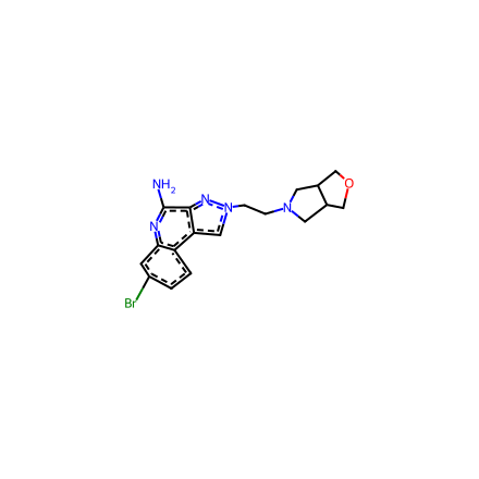 Nc1nc2cc(Br)ccc2c2cn(CCN3CC4COCC4C3)nc12